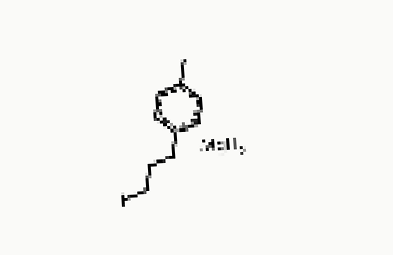 Cc1ccc(CCCI)cc1.[MgH2]